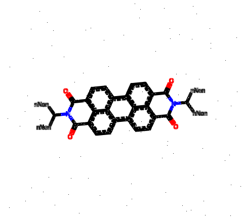 CCCCCCCCCC(CCCCCCCCC)N1C(=O)c2ccc3c4ccc5c6c(ccc(c7ccc(c2c37)C1=O)c64)C(=O)N(C(CCCCCCCCC)CCCCCCCCC)C5=O